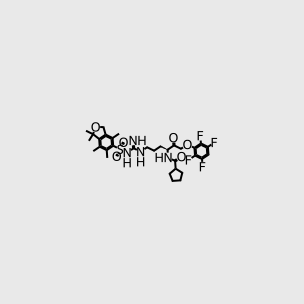 Cc1c(C)c(S(=O)(=O)NC(=N)NCCC[C@H](NC(=O)C2CCCC2)C(=O)COc2c(F)c(F)cc(F)c2F)c(C)c2c1C(C)(C)OC2